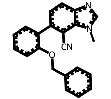 Cn1cnc2ccc(-c3ccccc3OCc3ccccc3)c(C#N)c21